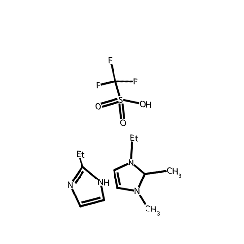 CCN1C=CN(C)C1C.CCc1ncc[nH]1.O=S(=O)(O)C(F)(F)F